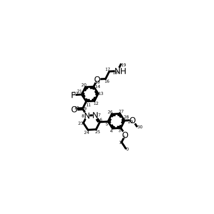 CCOc1cc(C2=NN(C(=O)c3ccc(OCCNC)cc3F)CCC2)ccc1OC